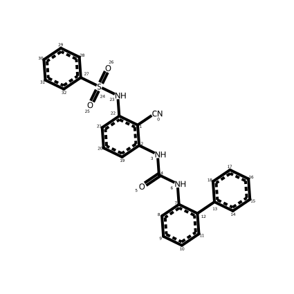 N#Cc1c(NC(=O)Nc2ccccc2-c2ccccc2)cccc1NS(=O)(=O)c1ccccc1